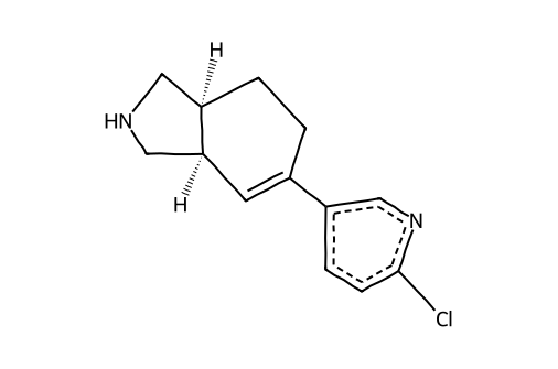 Clc1ccc(C2=C[C@H]3CNC[C@H]3CC2)cn1